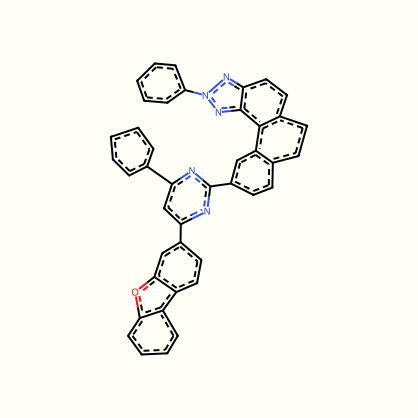 c1ccc(-c2cc(-c3ccc4c(c3)oc3ccccc34)nc(-c3ccc4ccc5ccc6nn(-c7ccccc7)nc6c5c4c3)n2)cc1